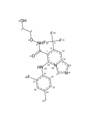 O=C(NOCCO)c1c(C(F)(F)F)cc2cncn2c1Nc1ccc(I)cc1F